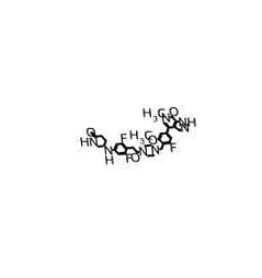 COc1cc(-c2cn(C)c(=O)c3[nH]ncc23)cc(F)c1CN1CCN(C(=O)Cc2c(F)cc(NC3CCC(=O)NC3)cc2F)CC1